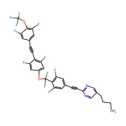 CCCCc1cnc(C#Cc2cc(F)c(C(F)(F)Oc3cc(F)c(C#Cc4cc(F)c(OC(F)(F)F)c(F)c4)c(F)c3)c(F)c2)nc1